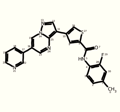 Cc1ccc(NC(=O)c2cc(-c3cnn4cc(-c5cccnc5)cnc34)cs2)c(F)c1